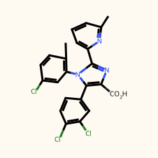 Cc1cccc(-c2nc(C(=O)O)c(-c3ccc(Cl)c(Cl)c3)n2-c2cc(Cl)ccc2C)n1